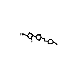 CCC1CCC(CCc2ccc(-c3ccc(C#N)cc3F)cc2)CC1